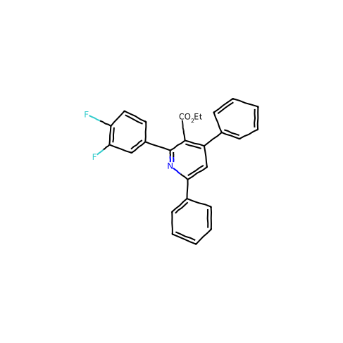 CCOC(=O)c1c(-c2ccccc2)cc(-c2ccccc2)nc1-c1ccc(F)c(F)c1